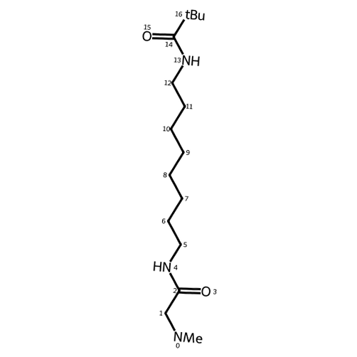 CNCC(=O)NCCCCCCCCNC(=O)C(C)(C)C